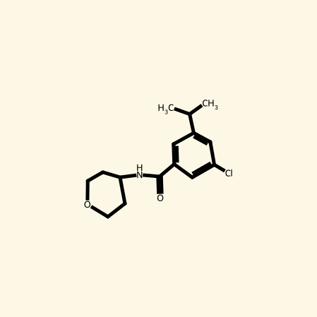 CC(C)c1cc(Cl)cc(C(=O)NC2CCOCC2)c1